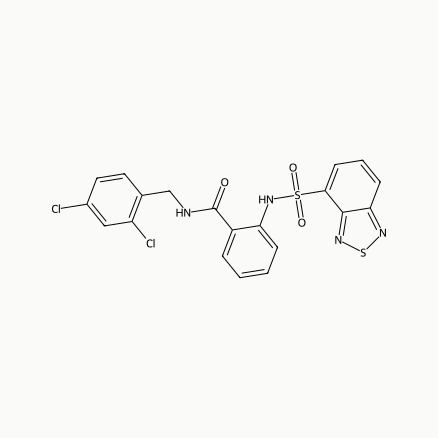 O=C(NCc1ccc(Cl)cc1Cl)c1ccccc1NS(=O)(=O)c1cccc2nsnc12